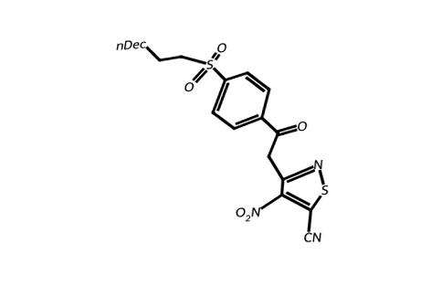 CCCCCCCCCCCCS(=O)(=O)c1ccc(C(=O)Cc2nsc(C#N)c2[N+](=O)[O-])cc1